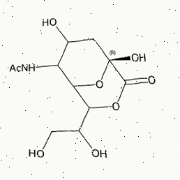 CC(=O)NC1C(O)C[C@@]2(O)OC1C(C(O)CO)OC2=O